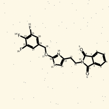 O=C1c2ccccc2C(=O)N1CCc1csc(OCc2cc(F)c(F)c(F)c2)n1